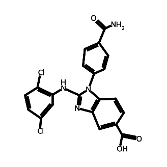 NC(=O)c1ccc(-n2c(Nc3cc(Cl)ccc3Cl)nc3cc(C(=O)O)ccc32)cc1